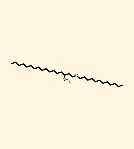 CCCCCCCCCCCCCCC(N)CCOCCCCCCCCCCCC